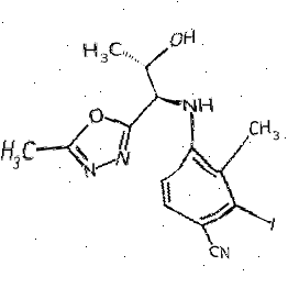 Cc1nnc([C@H](Nc2ccc(C#N)c(I)c2C)[C@H](C)O)o1